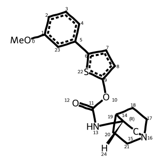 COc1cccc(-c2ccc(OC(=O)N[C@H]3CN4CCC3CC4)s2)c1